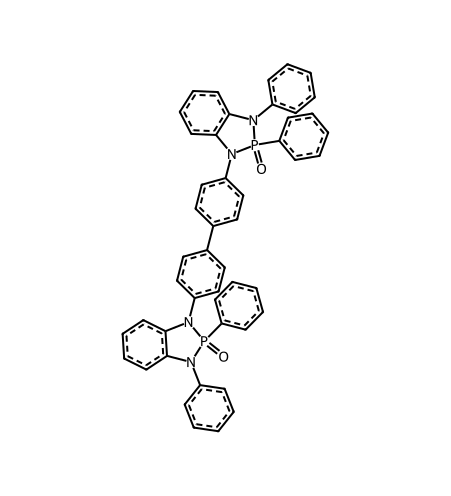 O=P1(c2ccccc2)N(c2ccccc2)c2ccccc2N1c1ccc(-c2ccc(N3c4ccccc4N(c4ccccc4)P3(=O)c3ccccc3)cc2)cc1